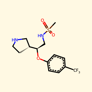 CS(=O)(=O)NC[C@@H](Oc1ccc(C(F)(F)F)cc1)[C@@H]1CCNC1